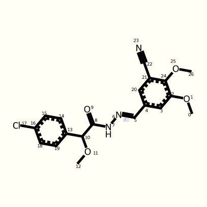 COc1cc(/C=N/NC(=O)C(OC)c2ccc(Cl)cc2)cc(C#N)c1OC